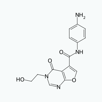 Nc1ccc(NC(=O)c2coc3ncn(CCO)c(=O)c23)cc1